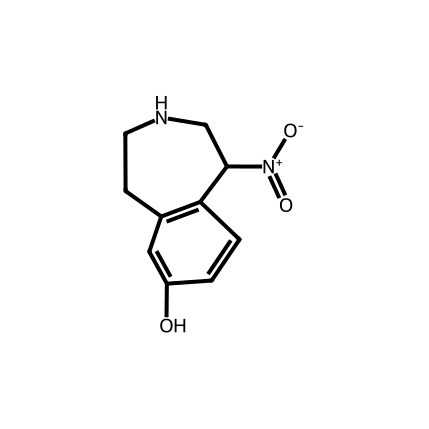 O=[N+]([O-])C1CNCCc2cc(O)ccc21